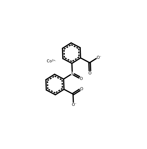 O=C([O-])c1ccccc1S(=O)c1ccccc1C(=O)[O-].[Co+2]